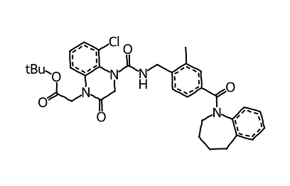 Cc1cc(C(=O)N2CCCCc3ccccc32)ccc1CNC(=O)N1CC(=O)N(CC(=O)OC(C)(C)C)c2cccc(Cl)c21